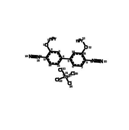 CCCOc1cc(-c2ccc([N+]#N)c(OCCC)c2)ccc1[N+]#N.[Cl][Zn-2]([Cl])([Cl])[Cl]